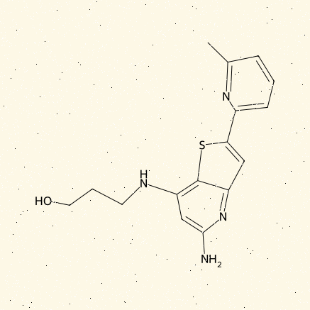 Cc1cccc(-c2cc3nc(N)cc(NCCCO)c3s2)n1